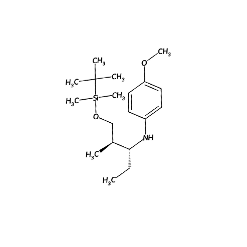 CC[C@@H](Nc1ccc(OC)cc1)[C@@H](C)CO[Si](C)(C)C(C)(C)C